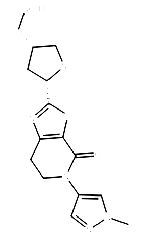 Cn1cc(N2CCc3nc([C@@H]4C[C@H](CS(=O)(=O)O)CN4)sc3C2=O)cn1